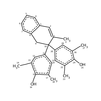 CC1=Cc2ccccc2CC1(c1cc(C)c(O)c(C)c1)c1cc(C)c(O)c(C)c1